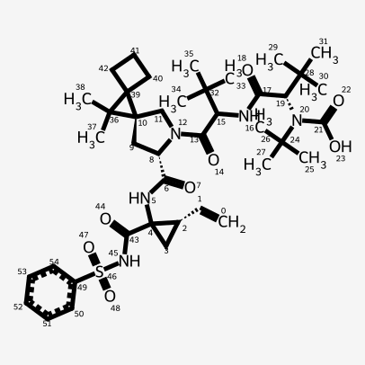 C=C[C@@H]1CC1(NC(=O)[C@@H]1C[C@@]2(CN1C(=O)C(NC(=O)[C@@H](N(C(=O)O)C(C)(C)C)C(C)(C)C)C(C)(C)C)C(C)(C)C21CCC1)C(=O)NS(=O)(=O)c1ccccc1